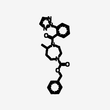 CC1CCN(C(=O)OCc2ccccc2)CCN1C(=O)c1ccccc1-n1nccn1